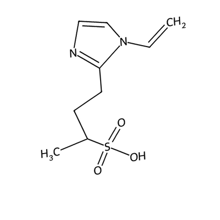 C=Cn1ccnc1CCC(C)S(=O)(=O)O